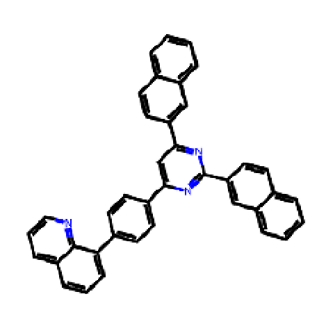 c1ccc2cc(-c3cc(-c4ccc(-c5cccc6cccnc56)cc4)nc(-c4ccc5ccccc5c4)n3)ccc2c1